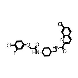 O=C(COc1ccc(Cl)c(F)c1)N[C@H]1CC[C@H](CNC(=O)c2ccc3ccc(Cl)cc3n2)CC1